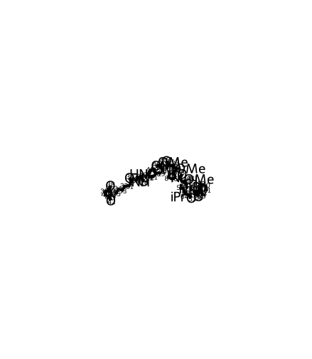 CC[C@H](C)[C@@H]([C@@H](CC(=O)N1CCC[C@H]1[C@H](OC)[C@@H](C)C(=O)N[C@@H](Cc1ccc(NC(=O)CNC(=O)CCCCCN2C(=O)C=CC2=O)cc1)C(=O)OC)OC)N(C)[C@H](C(=O)NC(=O)[C@@]1(C)CCCN1C)C(C)C